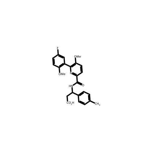 COc1ccc(F)cc1-c1nc(C(=O)NC(CC(=O)O)c2ccc(C)cc2)ccc1OC